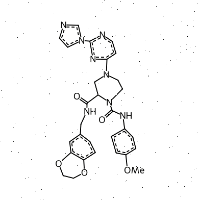 COc1ccc(NC(=O)N2CCN(c3ccnc(-n4ccnc4)n3)CC2C(=O)NCc2ccc3c(c2)OCCO3)cc1